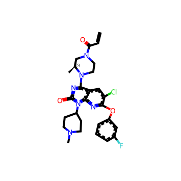 C=CC(=O)N1CCN(c2nc(=O)n(C3CCN(C)CC3)c3nc(Oc4cccc(F)c4)c(Cl)cc23)[C@@H](C)C1